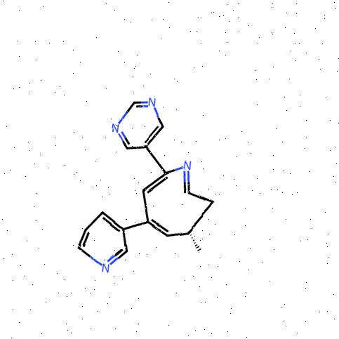 C[C@@H]1\C=C(c2cccnc2)/C=C(c2cncnc2)\N=C\C1